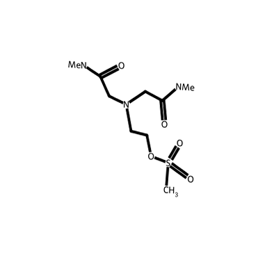 CNC(=O)CN(CCOS(C)(=O)=O)CC(=O)NC